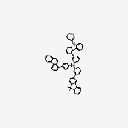 CC1(C)c2ccccc2-c2cc(-c3cccc(N(c4ccc(-c5cccc6c5ccc5ccccc56)cc4)c4cccc(-c5cccc6c5c5ccccc5n6-c5ccccc5)c4)c3)ccc21